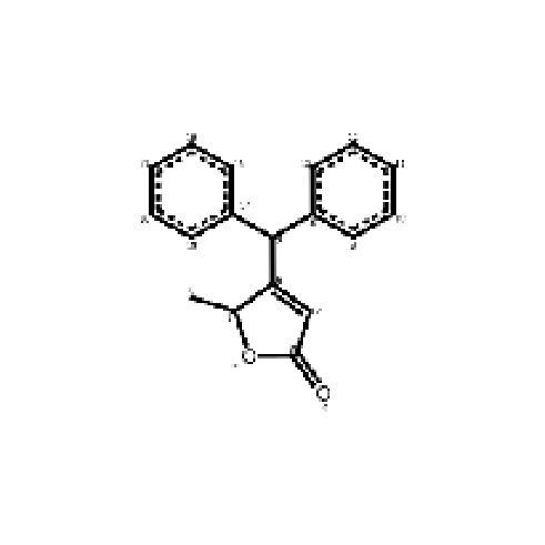 CC1OC(=O)C=C1C(c1ccccc1)c1ccccc1